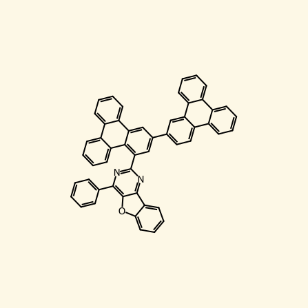 c1ccc(-c2nc(-c3cc(-c4ccc5c6ccccc6c6ccccc6c5c4)cc4c5ccccc5c5ccccc5c34)nc3c2oc2ccccc23)cc1